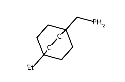 CCC12CCC(CP)(CC1)CC2